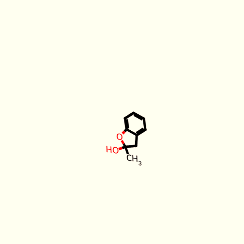 CC1(O)Cc2ccccc2O1